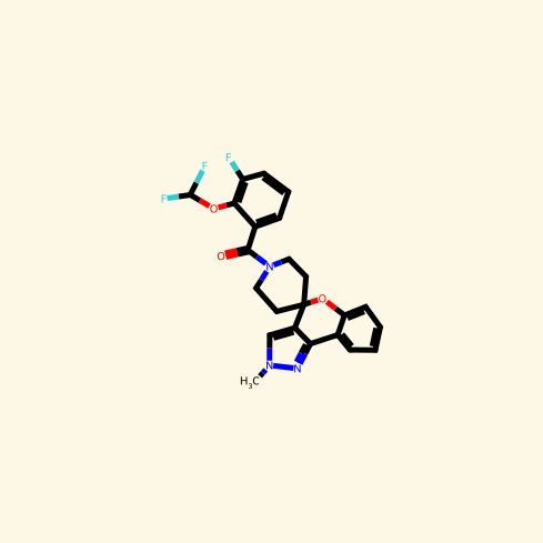 Cn1cc2c(n1)-c1ccccc1OC21CCN(C(=O)c2cccc(F)c2OC(F)F)CC1